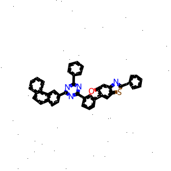 c1ccc(-c2nc(-c3ccc4ccc5ccccc5c4c3)nc(-c3cccc4c3oc3cc5nc(-c6ccccc6)sc5cc34)n2)cc1